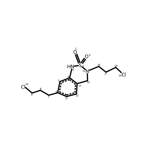 O=S1(=O)Nc2cc(CCCCl)ccc2CN1CCCCl